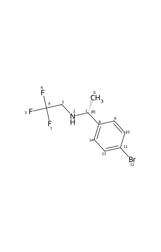 C[C@@H](NCC(F)(F)F)c1ccc(Br)cc1